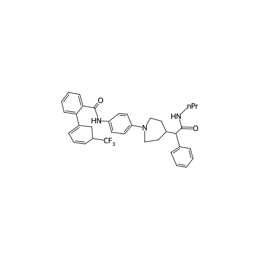 CCCNC(=O)C(c1ccccc1)C1CCN(c2ccc(NC(=O)c3ccccc3C3=CC=CC(C(F)(F)F)C3)cc2)CC1